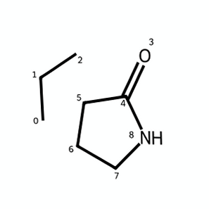 CCC.O=C1CCCN1